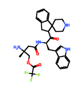 C[C@](N)(COC(=O)C(F)(F)F)CC(=O)N[C@H](Cc1c[nH]c2ccccc12)C(=O)C1Cc2ccccc2C12CCNCC2